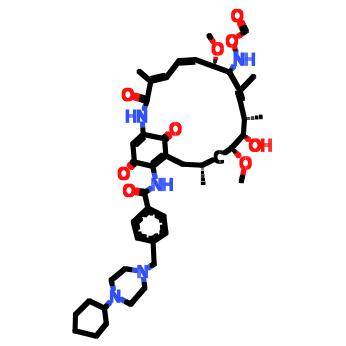 CO[C@H]1/C=C\C=C(/C)C(=O)NC2=CC(=O)C(NC(=O)c3ccc(CN4CCN(C5CCCCC5)CC4)cc3)=C(C[C@@H](C)C[C@H](OC)[C@H](O)[C@@H](C)/C=C(\C)[C@@H]1NOC=O)C2=O